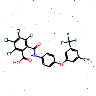 Cc1cc(Oc2ccc(NC(=O)c3c(Cl)c(Cl)c(Cl)c(Cl)c3C(=O)O)cc2)cc(C(F)(F)F)c1